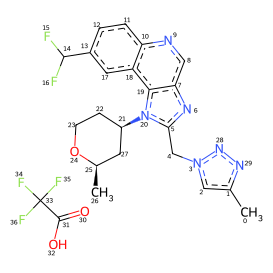 Cc1cn(Cc2nc3cnc4ccc(C(F)F)cc4c3n2[C@@H]2CCO[C@H](C)C2)nn1.O=C(O)C(F)(F)F